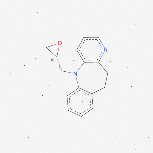 c1ccc2c(c1)CCc1ncccc1N2C[C@@H]1CO1